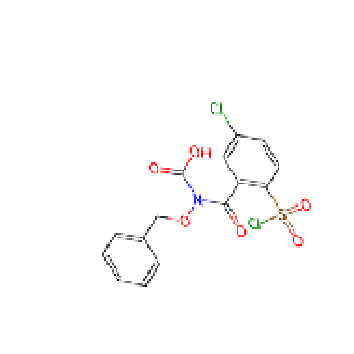 O=C(O)N(OCc1ccccc1)C(=O)c1cc(Cl)ccc1S(=O)(=O)Cl